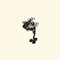 COc1cccc2c1C(=O)c1c(O)c3c(c(O)c1C2=O)C[C@@](O)(C(=O)CO)C[C@@H]3OC1C[C@H](NC(=O)OC(Cc2cn(CCCCCC[PH](c3ccccc3)(c3ccccc3)c3ccccc3)nn2)c2ccc(NC(=O)C(Cl)Cl)cc2)[C@H](O)[C@H](C)O1